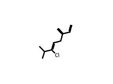 C=CC(=C)CC=C(Cl)C(C)C